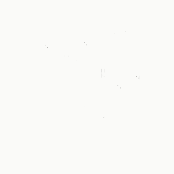 O=S(=O)=CN(CCc1ccccn1)CCC1(c2cc3c(Nc4ccc(OCc5cccc(F)c5)c(Br)c4)ncnc3cc2F)CC=CO1